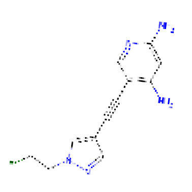 Nc1cc(N)c(C#Cc2cnn(CCF)c2)cn1